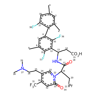 Cc1cc(C)c(-c2cc(C)c(F)c(C(CC(=O)O)NC(=O)C(CC(C)C)n3cc(CCN(C)C)c(C(F)(F)F)cc3=O)c2F)c(F)c1